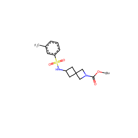 CC(C)(C)OC(=O)N1CC2(CC(NS(=O)(=O)c3cccc(C(F)(F)F)c3)C2)C1